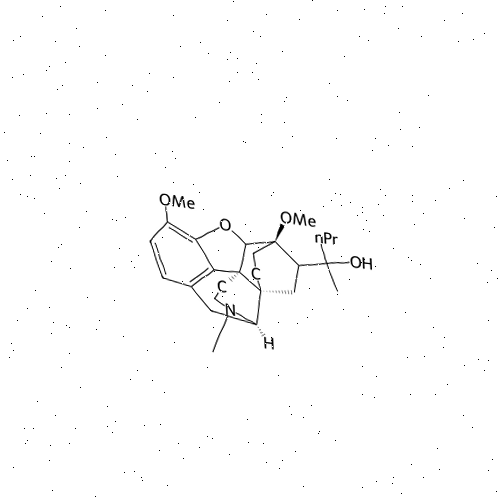 CCCC(C)(O)C1C[C@@]23CC[C@]1(OC)C1Oc4c(OC)ccc5c4[C@@]12CCN(C)[C@@H]3C5